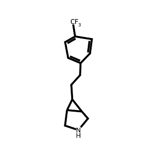 FC(F)(F)c1ccc(CCC2C3CNCC23)cc1